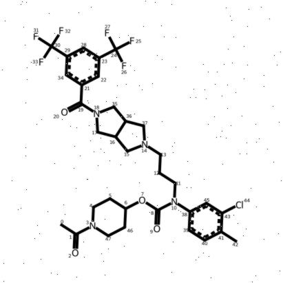 CC(=O)N1CCC(OC(=O)N(CCCN2CC3CN(C(=O)c4cc(C(F)(F)F)cc(C(F)(F)F)c4)CC3C2)c2ccc(C)c(Cl)c2)CC1